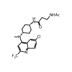 CC(=O)NCCC(=O)N[C@H]1CC[C@@H](N(C)c2cc(C(F)(F)F)nc3ccc(Cl)cc23)CC1